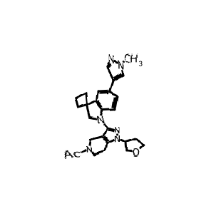 CC(=O)N1CCc2c(c(N3CC4(CCC4)c4cc(-c5cnn(C)c5)ccc43)nn2C2CCOC2)C1